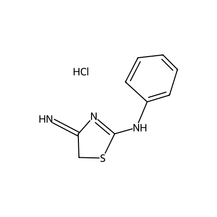 Cl.N=C1CSC(Nc2ccccc2)=N1